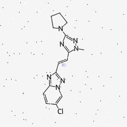 Cn1nc(N2CCCC2)nc1/C=C/c1nc2ccc(Cl)cn2n1